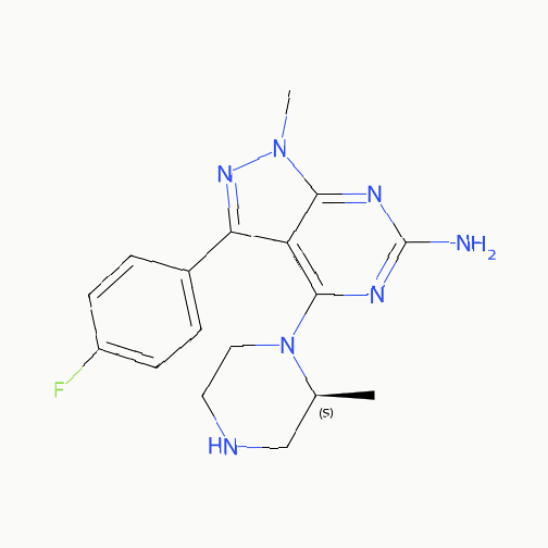 C[C@H]1CNCCN1c1nc(N)nc2c1c(-c1ccc(F)cc1)nn2C